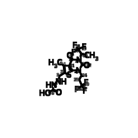 Cc1c(CNNC(=O)O)sc2c1c(=O)n(C(C)C(F)(F)F)c(=O)n2CCC(F)(F)F